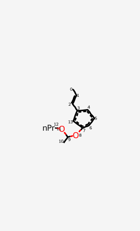 CC=Cc1cccc(OC(C)OCCC)c1